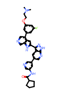 CN(C)CCOc1cc(F)cc(-c2cncc3[nH]c(-c4n[nH]c5ncc(-c6cncc(NC(=O)C7CCCC7)c6)cc45)cc23)c1